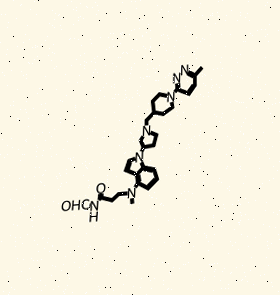 Cc1ccc(N2CCC(CN3CCC(n4ccc5c(N(C)CCC(=O)NC=O)cccc54)C3)CC2)nn1